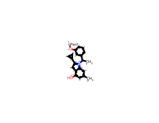 CCCCCOc1cccc(C(C)n2c(C3=CC3)cc3c(O)cc(C)cc32)c1